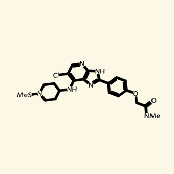 CNC(=O)COc1ccc(-c2nc3c(NC4CCN(SC)CC4)c(Cl)cnc3[nH]2)cc1